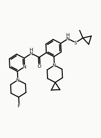 CC1(SNc2ccc(C(=O)Nc3cccc(N4CCC(F)CC4)n3)c(N3CCC4(CC3)CC4)c2)CC1